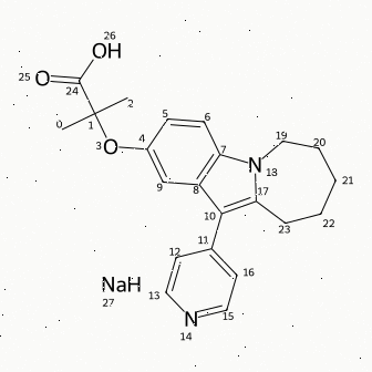 CC(C)(Oc1ccc2c(c1)c(-c1ccncc1)c1n2CCCCC1)C(=O)O.[NaH]